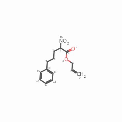 C=CCOC(=O)C(CCCc1ccccc1)[N+](=O)[O-]